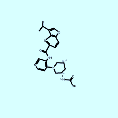 CC(C)c1coc2ccc(C(=O)Nc3cnccc3N3C[C@H](C)C[C@H](NC(=O)O)C3)nc12